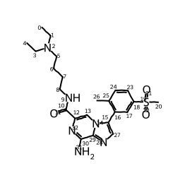 CCN(CC)CCCCNC(=O)c1cn2c(-c3cc(S(C)(=O)=O)ccc3C)cnc2c(N)n1